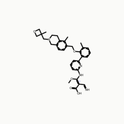 CO/C(Nc1cccc(-c2cccc(C)c2OCc2ccc3c(c2C)CCN(CC2(C)COC2)C3)n1)=C(/C=N)C(=O)O